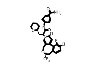 NC(=O)c1ccc(NC(=O)[C@H](C[C@@H]2CCCCO2)n2cc3c(cc2=O)-c2c(ccc(Cl)c2F)C[C@@H](C(F)(F)F)OC3)cc1